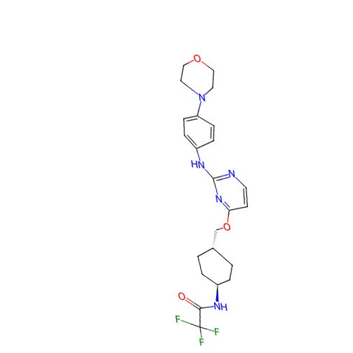 O=C(N[C@H]1CC[C@H](COc2ccnc(Nc3ccc(N4CCOCC4)cc3)n2)CC1)C(F)(F)F